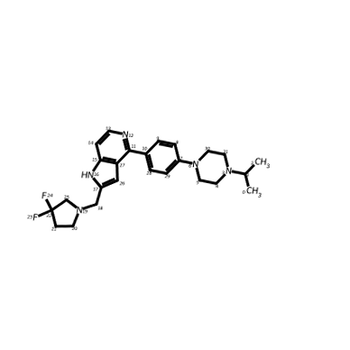 CC(C)N1CCN(c2ccc(-c3nccc4[nH]c(CN5CCC(F)(F)C5)cc34)cc2)CC1